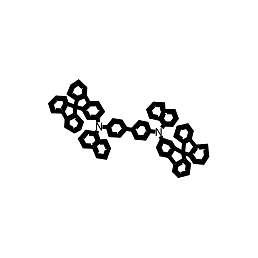 c1ccc2c(c1)-c1ccccc1C21c2ccccc2-c2ccc(N(c3ccc(-c4ccc(N(c5ccc6c(c5)C5(c7ccccc7-c7ccccc75)c5ccccc5-6)c5cccc6ccccc56)cc4)cc3)c3cccc4ccccc34)cc21